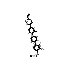 C=CC1OCC(c2ccc(-c3ccc(-c4ccc(OCCCCCC)c(F)c4F)cc3)c(F)c2)CO1